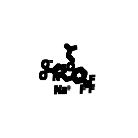 CC(C)CCOc1ccc(C(F)(F)F)cc1Cc1nc(C(=O)[O-])cs1.[Na+]